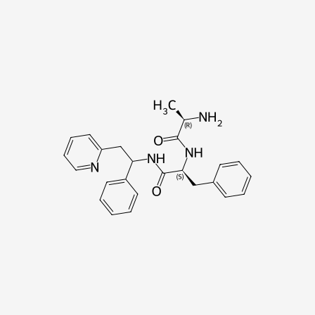 C[C@@H](N)C(=O)N[C@@H](Cc1ccccc1)C(=O)NC(Cc1ccccn1)c1ccccc1